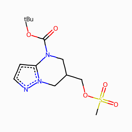 CC(C)(C)OC(=O)N1CC(COS(C)(=O)=O)Cn2nccc21